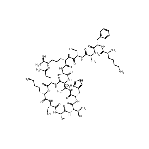 CC(C)[C@H](NC(=O)[C@H](CCCNC(=N)N)NC(=O)[C@H](CS)NC(=O)[C@H](C)NC(=O)[C@H](Cc1ccccc1)NC(=O)[C@@H](N)CCCCN)C(=O)N[C@H](C(=O)N[C@@H](CCC(N)=O)C(=O)N[C@@H](CCCCN)C(=O)N[C@@H](CS)C(=O)N[C@H](C(=O)N[C@H](C(=O)N[C@@H](Cc1c[nH]cn1)C(=O)N[C@@H](C)C(=O)O)[C@@H](C)O)C(C)C)C(C)C